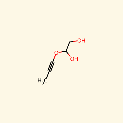 CC#COC(O)CO